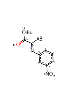 CC(=O)/C(=C\c1cccc([N+](=O)[O-])c1)C(=O)OCC(C)C